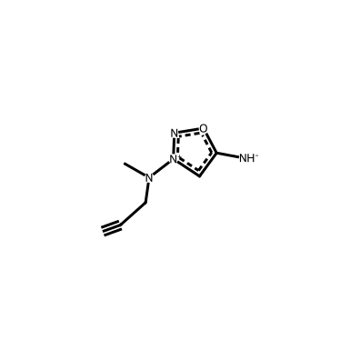 C#CCN(C)[n+]1cc([NH-])on1